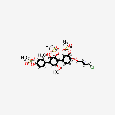 COc1cc(-c2ccc(OS(C)(=O)=O)cc2)c(OC)c(OS(C)(=O)=O)c1-c1ccc(OC/C=C/CCl)c(OS(C)(=O)=O)c1